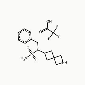 NS(=O)(=O)N(Cc1ccccc1)C1CC2(CNC2)C1.O=C(O)C(F)(F)F